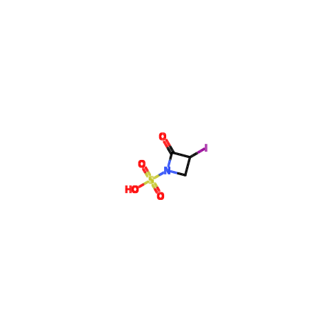 O=C1C(I)CN1S(=O)(=O)O